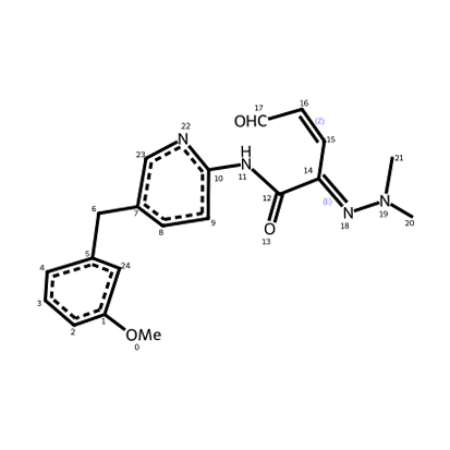 COc1cccc(Cc2ccc(NC(=O)C(/C=C\C=O)=N/N(C)C)nc2)c1